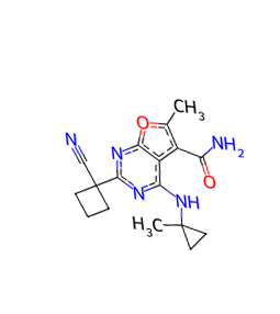 Cc1oc2nc(C3(C#N)CCC3)nc(NC3(C)CC3)c2c1C(N)=O